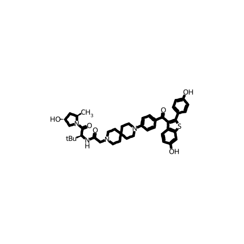 C[C@@H]1C[C@@H](O)CN1C(=O)[C@@H](NC(=O)CN1CCC2(CC1)CCN(c1ccc(C(=O)c3c(-c4ccc(O)cc4)sc4cc(O)ccc34)cc1)CC2)C(C)(C)C